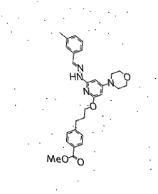 COC(=O)c1ccc(CCCOc2cc(N3CCOCC3)cc(N/N=C/c3cccc(C)c3)n2)cc1